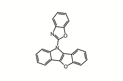 c1ccc2oc(-n3c4ccccc4c4oc5ccccc5c43)nc2c1